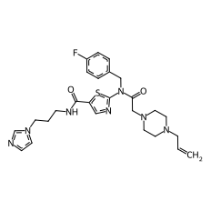 C=CCN1CCN(CC(=O)N(Cc2ccc(F)cc2)c2ncc(C(=O)NCCCn3ccnc3)s2)CC1